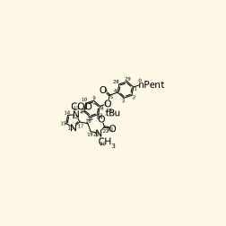 CCCCCc1ccc(C(=O)Oc2ccc([N+]3(C(=O)[O-])C=CN=C3CCN(C)C(=O)OC(C)(C)C)cc2)cc1